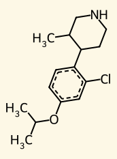 CC(C)Oc1ccc(C2CCNCC2C)c(Cl)c1